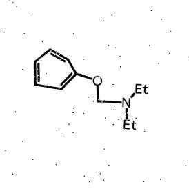 CCN([CH]Oc1ccccc1)CC